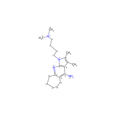 Cc1c(C)n(CCCCN(C)C)c2nc3c(c(N)c12)CCCCC3